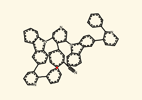 N#Cc1cccc(-c2c(-n3c4ccccc4c4cc(-c5cccnc5-c5ccccc5)ccc43)cncc2-n2c3ccccc3c3cc(-c4cccnc4-c4ccccc4)ccc32)c1